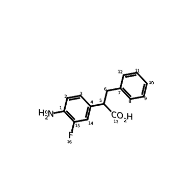 Nc1ccc(C(Cc2ccccc2)C(=O)O)cc1F